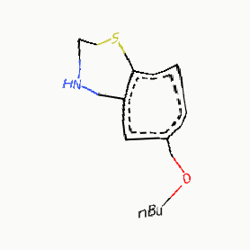 CCCCOc1ccc2c(c1)NCS2